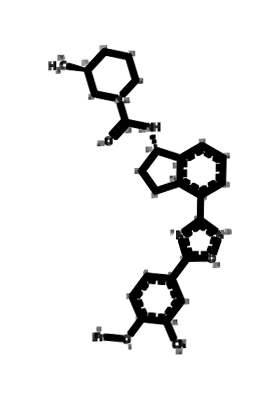 CC(C)Oc1ccc(-c2nc(-c3cccc4c3CC[C@@H]4NC(=O)N3CCC[C@H](C)C3)no2)cc1C#N